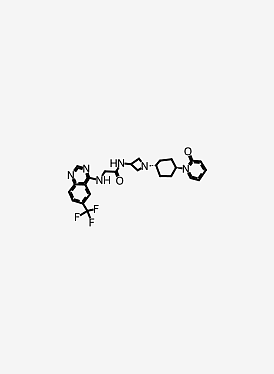 O=C(CNc1ncnc2ccc(C(F)(F)F)cc12)NC1CN([C@H]2CC[C@H](n3ccccc3=O)CC2)C1